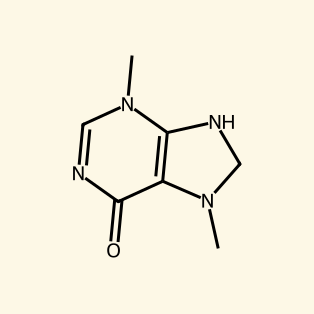 CN1CNc2c1c(=O)ncn2C